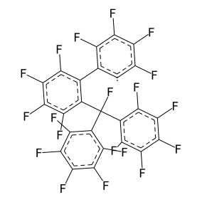 Fc1[c]c(-c2c(F)c(F)c(F)c(F)c2C(F)(c2c(F)c(F)c(F)c(F)c2F)c2c(F)c(F)c(F)c(F)c2F)c(F)c(F)c1F